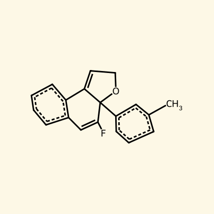 Cc1cccc(C23OCC=C2c2ccccc2C=C3F)c1